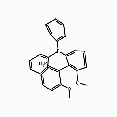 COc1cccc(P)c1-c1c(OC)cccc1P(c1ccccc1)c1ccccc1